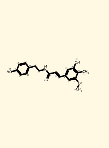 COc1cc(/C=C/C(=O)NCCc2ccc(O)cc2)cc(O)c1C